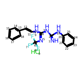 Cl.N=C(NC(=NC(F)(F)F)NC=Cc1ccccc1)Nc1ccccc1